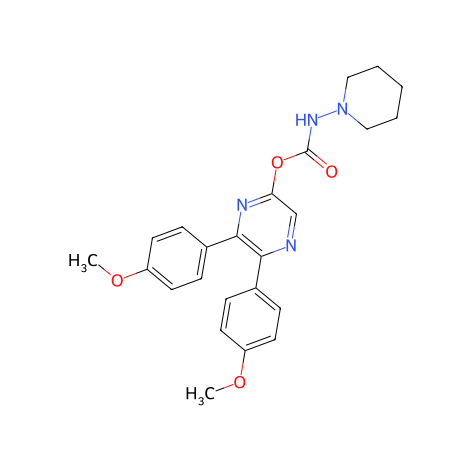 COc1ccc(-c2ncc(OC(=O)NN3CCCCC3)nc2-c2ccc(OC)cc2)cc1